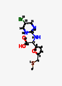 CSCc1ccc(C(Nc2ncc(Br)cn2)C(=O)O)o1